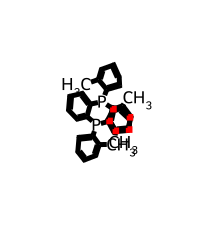 CC1=C(P(c2ccccc2C)c2ccccc2P(c2ccccc2C)c2ccccc2C)C=CCC1